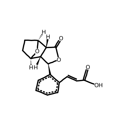 O=C(O)/C=C/c1ccccc1[C@@H]1OC(=O)[C@@H]2[C@H]1[C@H]1CC[C@@H]2O1